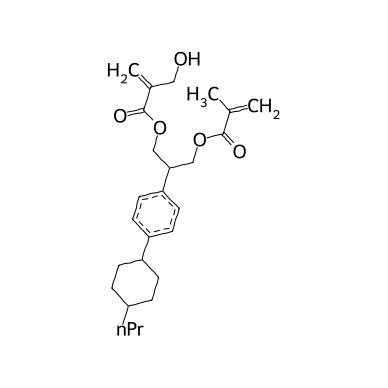 C=C(C)C(=O)OCC(COC(=O)C(=C)CO)c1ccc(C2CCC(CCC)CC2)cc1